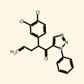 C=CCC(C(=O)c1cnnn1-c1ccccc1)c1ccc(Cl)c(Cl)c1